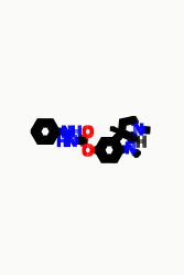 CN1CC[C@@]2(C)c3cc(OC(=O)NNc4ccccc4)ccc3N(C)[C@@H]12